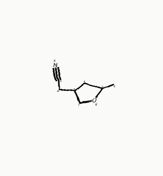 CC1CC(CC#N)CO1